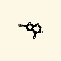 CC(C)(C)c1cc2c(=O)[nH]cnc2o1